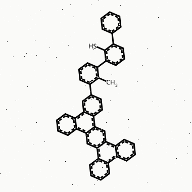 Cc1c(-c2ccc3c(c2)c2ccccc2c2cc4c5ccccc5c5ccccc5c4cc32)cccc1-c1cccc(-c2ccccc2)c1S